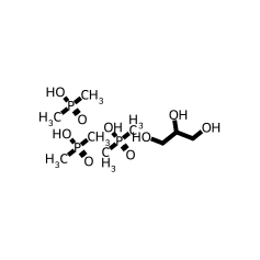 CP(C)(=O)O.CP(C)(=O)O.CP(C)(=O)O.OCC(O)CO